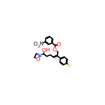 O=C(OC/C(=C\CCC(O)N1CCO1)c1ccc(F)cc1)c1cccc([N+](=O)[O-])c1